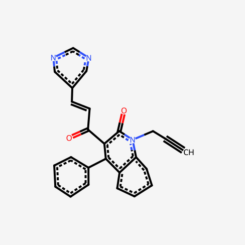 C#CCn1c(=O)c(C(=O)/C=C/c2cncnc2)c(-c2ccccc2)c2ccccc21